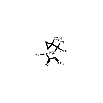 C=CC(=O)OC(C)(C)C.CC(N)(C#N)C1(C(=O)O)CC1